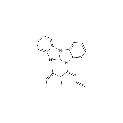 C=C/C=C(\C(C)/C(C)=C\C)n1c2ccccc2n2c3ccccc3nc12